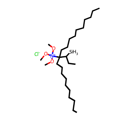 CCCCCCCCCCC(CCCCCCCCCC)(C([SiH3])CC)[N+](OC)(OC)OC.[Cl-]